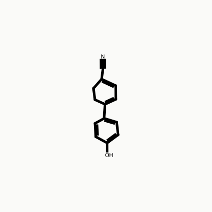 N#CC1=CC=C(c2ccc(O)cc2)CC1